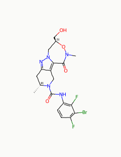 C[C@@H]1Cc2nn3c(c2CN1C(=O)Nc1ccc(F)c(Br)c1F)C(=O)N(C)O[C@H](CO)C3